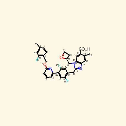 Cc1ccc(COc2cccc(-c3cc(F)c(Cc4nc5cc(C)c(C(=O)O)cc5n4C[C@@H]4CCO4)cc3F)n2)c(F)c1